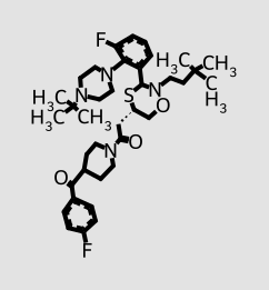 CC(C)(C)CCN1OC[C@H](CC(=O)N2CCC(C(=O)c3ccc(F)cc3)CC2)SC1c1cccc(F)c1N1CCN(C(C)(C)C)CC1